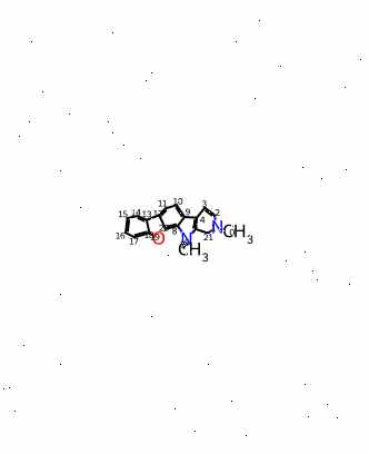 CN1C=Cc2c(n(C)c3c2ccc2c4ccccc4oc23)C1